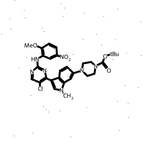 COc1ccc([N+](=O)[O-])cc1Nc1ncc(Cl)c(-c2cn(C)c3cc(N4CCN(C(=O)OC(C)(C)C)CC4)ccc23)n1